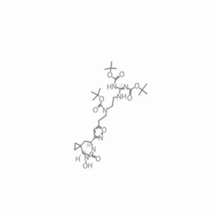 CC(C)(C)OC(=O)/N=C(\NCCN(CCc1cc([C@@H]2CC3(CC3)[C@H]3CN2C(=O)N3O)no1)C(=O)OC(C)(C)C)NC(=O)OC(C)(C)C